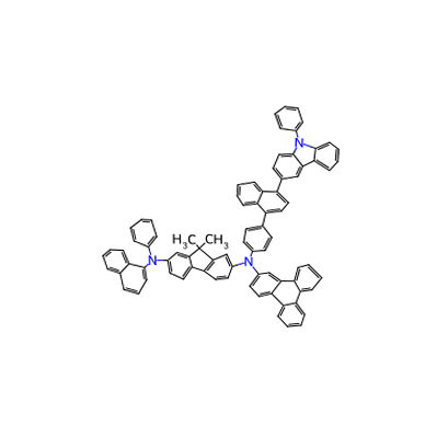 CC1(C)c2cc(N(c3ccc(-c4ccc(-c5ccc6c(c5)c5ccccc5n6-c5ccccc5)c5ccccc45)cc3)c3ccc4c5ccccc5c5ccccc5c4c3)ccc2-c2ccc(N(c3ccccc3)c3cccc4ccccc34)cc21